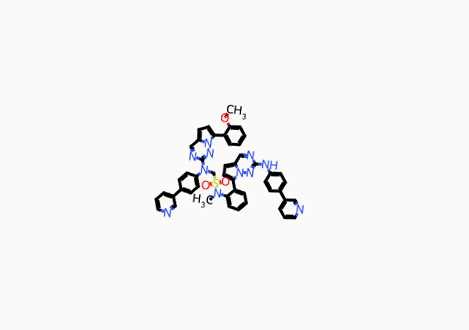 COc1ccccc1-c1ccc2cnc(N(CS(=O)(=O)N(C)c3ccccc3-c3ccc4cnc(Nc5ccc(-c6cccnc6)cc5)nn34)c3ccc(-c4cccnc4)cc3)nn12